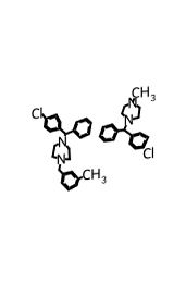 CN1CCN(C(c2ccccc2)c2ccc(Cl)cc2)CC1.Cc1cccc(CN2CCN(C(c3ccccc3)c3ccc(Cl)cc3)CC2)c1